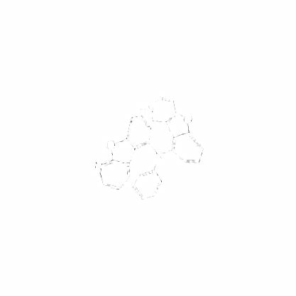 C1=Cc2oc3cccc(N(c4ccccc4)c4cccc5oc6ncccc6c45)c3c2CN1